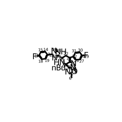 CCCC[C@@]1(c2noc(C)n2)N[C@@H](c2nc(-c3ccc(F)cc3)n[nH]2)Cc2c1[nH]c1cc(F)ccc21